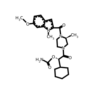 COc1ccc2cc(C(=O)N3CCN(C(=O)[C@@H](OC(N)=O)C4CCCCC4)C[C@@H]3C)n(C)c2c1